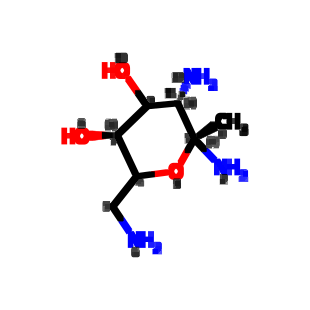 C[C@@]1(N)OC(CN)[C@@H](O)C(O)[C@@H]1N